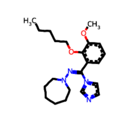 CCCCCOc1c(OC)cccc1C(=NN1CCCCCC1)n1ccnc1